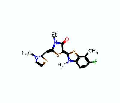 CCn1c(=O)/c(=C2\Sc3c(ccc(F)c3C)N2C)s/c1=C\c1scc[n+]1C